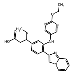 CCOc1ncc(Nc2cc([C@H](CC)CC(=O)O)ccc2-c2cn3ccccc3n2)cn1